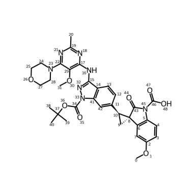 COc1ccc2c(c1)[C@]1(C[C@H]1c1ccc3c(Nc4nc(C)nc(N5CCOCC5)c4OC)nn(C(=O)OC(C)(C)C)c3c1)C(=O)N2C(=O)O